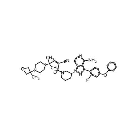 CC(C)(/C=C(/C#N)C(=O)N1CCC[C@@H](n2nc(-c3ccc(Oc4ccccc4)cc3F)c3c(N)nccc32)C1)N1CCN(C2(C)COC2)CC1